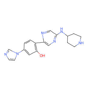 Oc1cc(-n2ccnc2)ccc1-c1cnc(NC2CCNCC2)cn1